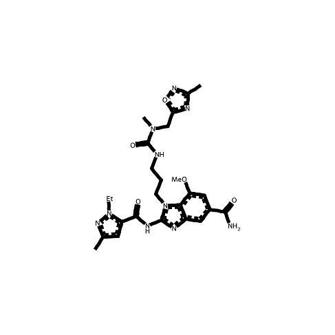 CCn1nc(C)cc1C(=O)Nc1nc2cc(C(N)=O)cc(OC)c2n1CCCNC(=O)N(C)Cc1nc(C)no1